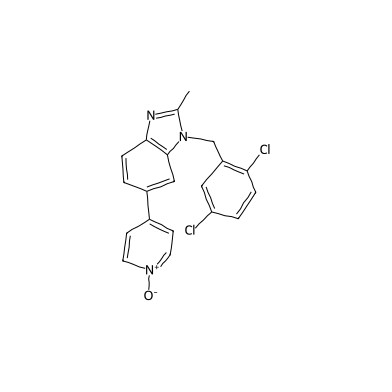 Cc1nc2ccc(-c3cc[n+]([O-])cc3)cc2n1Cc1cc(Cl)ccc1Cl